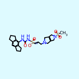 CS(=O)(=O)N1CC2=C(CN(C/C=C/S(=O)(=O)NC(=O)Nc3c4c(cc5c3CCC5)CCC4)C2)C1